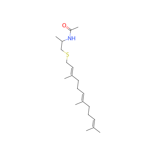 CC(=O)NC(C)CSC/C=C(\C)CC/C=C(\C)CCC=C(C)C